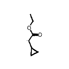 CCOC(=O)[CH]C1CC1